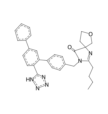 CCCCC1=NC2(CCOC2)C(=O)N1Cc1ccc(-c2cc(-c3ccccc3)ccc2-c2nnn[nH]2)cc1